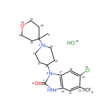 CC1(N2CCC(n3c(=O)[nH]c4cc(C(F)(F)F)c(Cl)cc43)CC2)CCOCC1.Cl